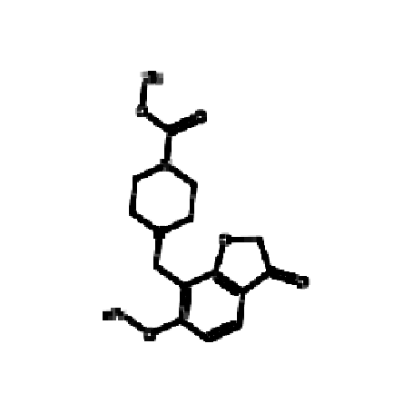 CCCOc1ccc2c(c1CN1CCN(C(=O)OC(C)(C)C)CC1)OCC2=O